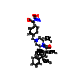 C[C@@H]1CN(Cc2ccc(C(=O)NO)cc2)C[C@H](C)N1C(=O)C(C)(C)CC(C)(C)c1ccccc1